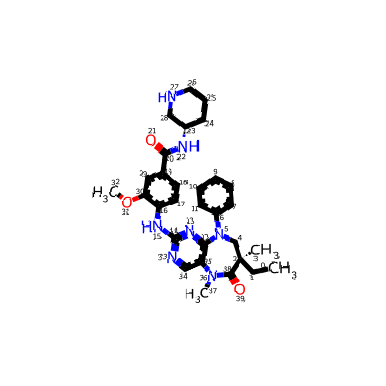 CC[C@]1(C)CN(c2ccccc2)c2nc(Nc3ccc(C(=O)N[C@H]4CCCNC4)cc3OC)ncc2N(C)C1=O